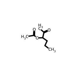 CCCC(OC(C)=O)C(C)=O